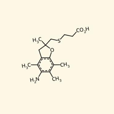 Cc1c(C)c2c(c(C)c1N)CC(C)(CSCCC(=O)O)O2